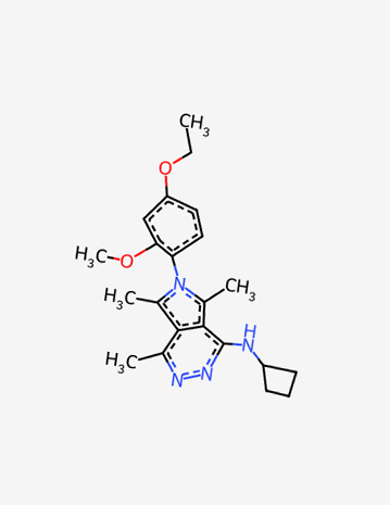 CCOc1ccc(-n2c(C)c3c(C)nnc(NC4CCC4)c3c2C)c(OC)c1